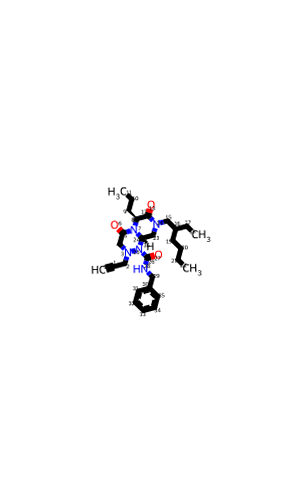 C#CCN1CC(=O)N2[C@@H](CCC)C(=O)N(CC(CC)CCCC)C[C@@H]2N1C(=O)NCc1ccccc1